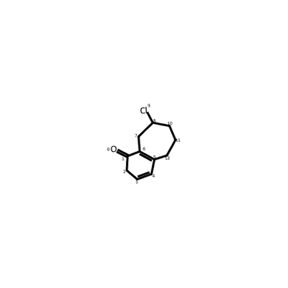 O=C1CC=CC2=C1CC(Cl)CCC2